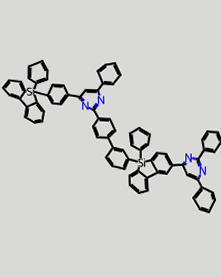 c1ccc(-c2cc(-c3ccc([Si]4(c5ccccc5)c5ccccc5-c5ccccc54)cc3)nc(-c3ccc(-c4cccc([Si]5(c6ccccc6)c6ccccc6-c6cc(-c7cc(-c8ccccc8)nc(-c8ccccc8)n7)ccc65)c4)cc3)n2)cc1